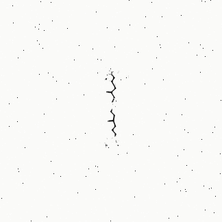 CO[Si](CCCC([SiH3])CCNCCC([SiH3])CCC[Si](OC)(OC)OC)(OC)OC